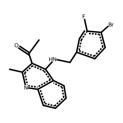 CC(=O)c1c(C)nc2ccccc2c1NCc1ccc(Br)c(F)c1